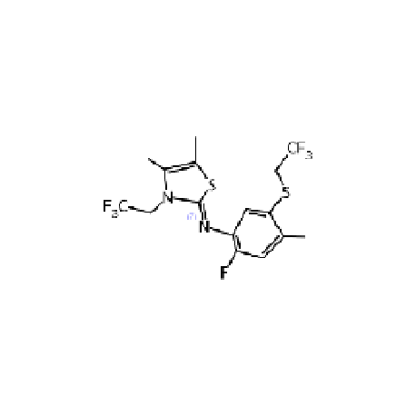 Cc1cc(F)c(/N=c2\sc(C)c(C)n2CC(F)(F)F)cc1SCC(F)(F)F